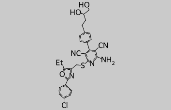 CCc1oc(-c2ccc(Cl)cc2)nc1CSc1nc(N)c(C#N)c(-c2ccc(CC[C@@H](O)CO)cc2)c1C#N